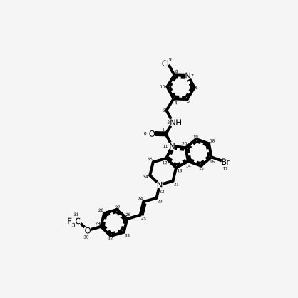 O=C(NCc1ccnc(Cl)c1)n1c2c(c3cc(Br)ccc31)CN(CC=Cc1ccc(OC(F)(F)F)cc1)CC2